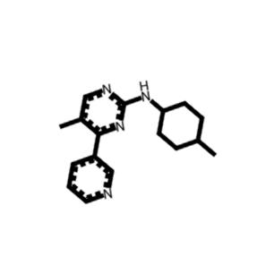 Cc1cnc(NC2CCC(C)CC2)nc1-c1cccnc1